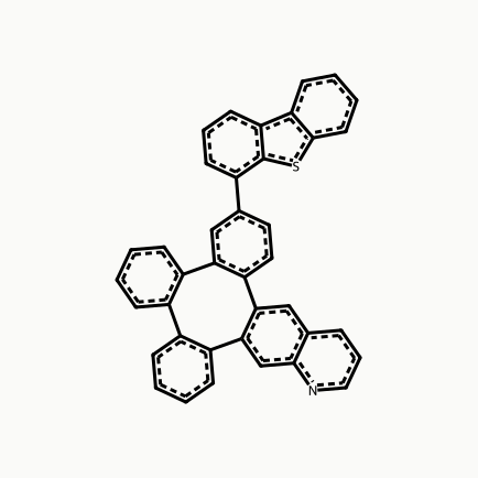 c1ccc2c(c1)-c1ccccc1-c1cc3ncccc3cc1-c1ccc(-c3cccc4c3sc3ccccc34)cc1-2